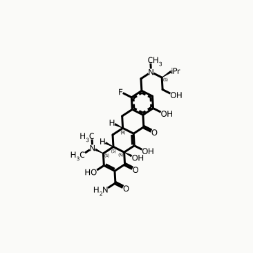 CC(C)[C@@H](CO)N(C)Cc1cc(O)c2c(c1F)C[C@H]1C[C@H]3[C@H](N(C)C)C(O)=C(C(N)=O)C(=O)[C@@]3(O)C(O)=C1C2=O